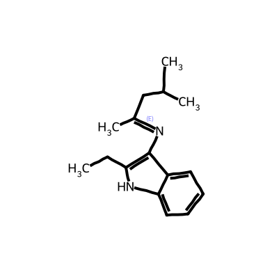 CCc1[nH]c2ccccc2c1/N=C(\C)CC(C)C